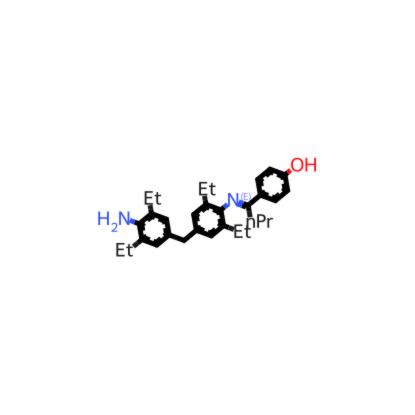 CCC/C(=N\c1c(CC)cc(Cc2cc(CC)c(N)c(CC)c2)cc1CC)c1ccc(O)cc1